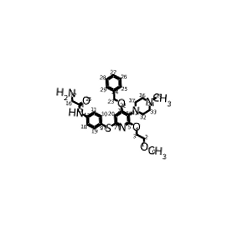 COCCOc1nc(Sc2ccc(NC(=O)CN)cc2)cc(OCc2ccccc2)c1N1CCN(C)CC1